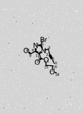 CC#CCn1c(Br)nc(C=O)c1C(=O)OCCOC